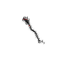 CCCCCCCCCCCCC#CC#CCCCCCCCCC(=O)Oc1ccc(C(C)=O)cc1